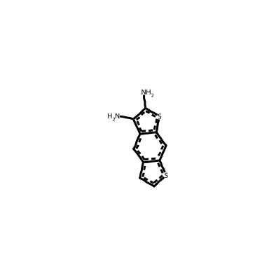 Nc1sc2cc3sccc3cc2c1N